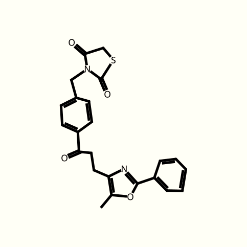 Cc1oc(-c2ccccc2)nc1CCC(=O)c1ccc(CN2C(=O)CSC2=O)cc1